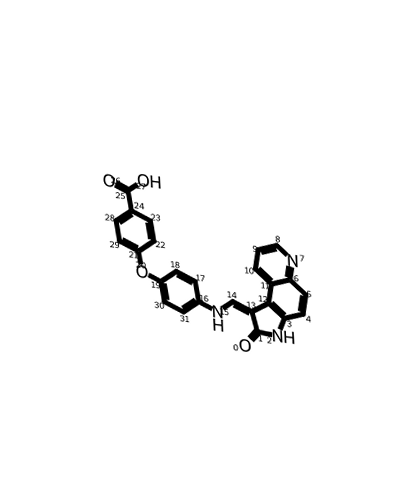 O=C1Nc2ccc3ncccc3c2/C1=C/Nc1ccc(Oc2ccc(C(=O)O)cc2)cc1